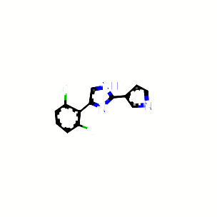 Clc1cccc(Cl)c1-c1c[nH]c(-c2cc[nH]c2)n1